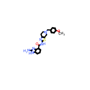 COc1ccc(CN2CCc3nc(NC(=O)c4cccc5[nH]c(N)nc45)sc3C2)cc1